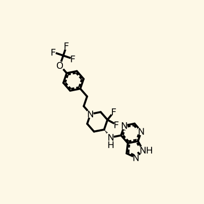 FC(F)(F)Oc1ccc(CCN2CC[C@@H](Nc3ncnc4[nH]ncc34)C(F)(F)C2)cc1